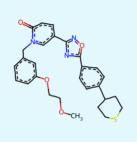 COCCOc1cccc(Cn2cc(-c3noc(-c4ccc(C5CCSCC5)cc4)n3)ccc2=O)c1